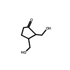 O=C1CCC(CO)C1CO